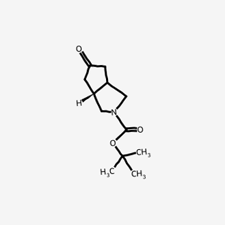 CC(C)(C)OC(=O)N1CC2CC(=O)C[C@H]2C1